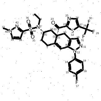 CCN([C@H]1CCC2=Cc3c(cnn3-c3ccc(F)cc3)C[C@]2(C(=O)c2ncc(C(F)(F)F)s2)C1)S(=O)(=O)c1ccn(C)n1